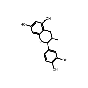 Oc1cc(O)c2c(c1)O[C@H](c1ccc(O)c(O)c1)[C@H](F)C2